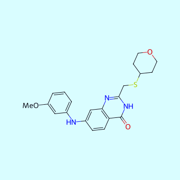 COc1cccc(Nc2ccc3c(=O)[nH]c(CSC4CCOCC4)nc3c2)c1